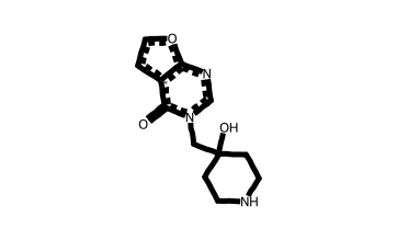 O=c1c2ccoc2ncn1CC1(O)CCNCC1